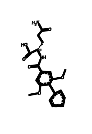 COc1cc(C(=O)N[C@@H](CCC(N)=O)C(=O)O)cc(OC)c1-c1ccccc1